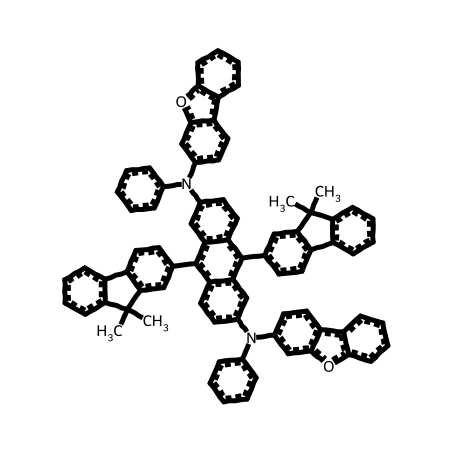 CC1(C)c2ccccc2-c2ccc(-c3c4ccc(N(c5ccccc5)c5ccc6c(c5)oc5ccccc56)cc4c(-c4ccc5c(c4)C(C)(C)c4ccccc4-5)c4ccc(N(c5ccccc5)c5ccc6c(c5)oc5ccccc56)cc34)cc21